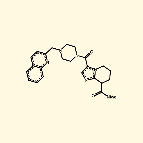 CNC(=O)C1CCCn2c(C(=O)N3CCN(Cc4ccc5ccccc5n4)CC3)[c]nc21